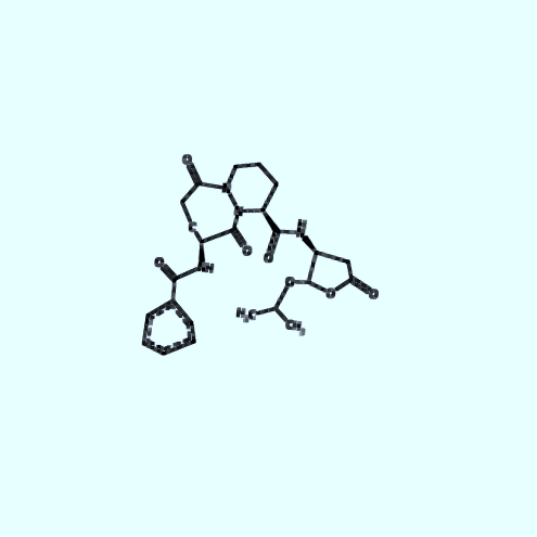 CC(C)OC1OC(=O)C[C@@H]1NC(=O)[C@@H]1CCCN2C(=O)CC[C@H](NC(=O)c3ccccc3)C(=O)N12